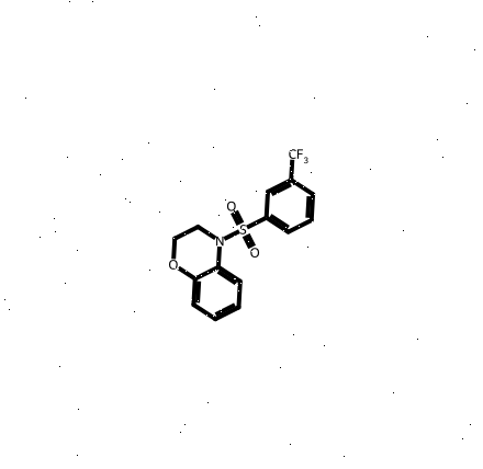 O=S(=O)(c1cccc(C(F)(F)F)c1)N1CCOc2ccccc21